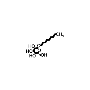 CCCCCCCCCO[C@H]1O[C@H](CO)[C@H](O)[C@H](O)[C@@H]1O